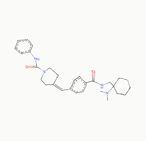 CN(C)C1(CNC(=O)c2ccc(C=C3CCN(C(=O)Nc4ccccc4)CC3)cc2)CCCCC1